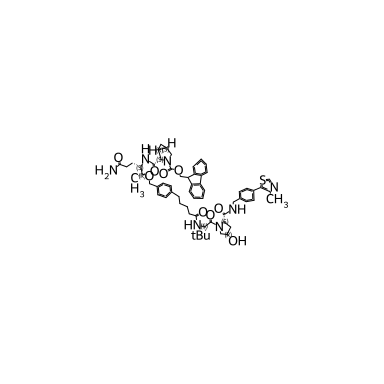 Cc1ncsc1-c1ccc(CNC(=O)[C@@H]2C[C@@H](O)CN2C(=O)[C@@H](NC(=O)CCCCc2ccc(CO[C@H](C)[C@H](CCC(N)=O)NC(=O)[C@@H]3[C@@H]4C[C@@H]4CN3C(=O)OCC3c4ccccc4-c4ccccc43)cc2)C(C)(C)C)cc1